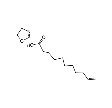 C1=NCCO1.C=CCCCCCCCCC(=O)O